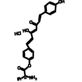 CC(C)[C@H](N)C(=O)Oc1ccc(C=CC(O)=CC(=O)C=Cc2ccc(O)cc2)cc1.Cl